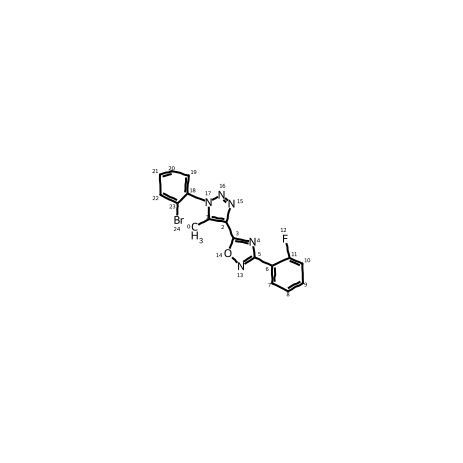 Cc1c(-c2nc(-c3ccccc3F)no2)nnn1-c1ccccc1Br